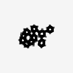 c1ccc(-c2nc(-c3ccccc3)nc(-c3ccccc3-c3ccc4oc5ccc6ccc7oc8cccc9c8c7c6c5c4c3-9)n2)cc1